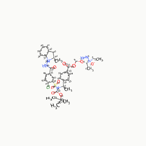 CC[N+]([O-])(CC)/N=N\OCOC(=O)c1ccc(C(C)N(C(=O)OC(C)(C)C)S(=O)(=O)c2cc(C(=O)NN3c4ccccc4CC3C)ccc2Cl)cc1